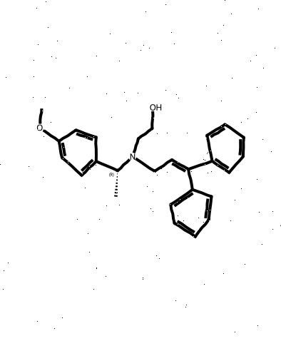 COc1ccc([C@@H](C)N(CC=C(c2ccccc2)c2ccccc2)CCO)cc1